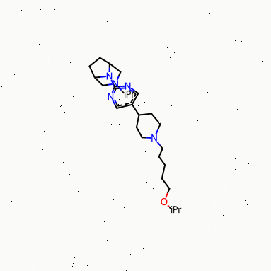 CC(C)OCCCCCN1CCC(c2cnc(N3C4CCC3CN(C(C)C)C4)nc2)CC1